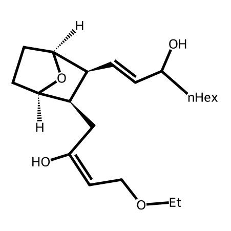 CCCCCCC(O)/C=C/[C@H]1[C@@H](C/C(O)=C\COCC)[C@H]2CC[C@@H]1O2